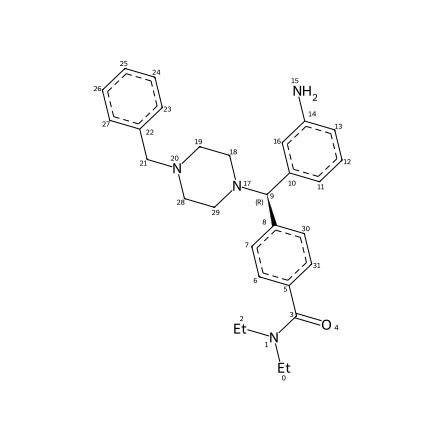 CCN(CC)C(=O)c1ccc([C@H](c2cccc(N)c2)N2CCN(Cc3ccccc3)CC2)cc1